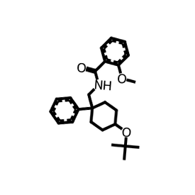 COc1ccccc1C(=O)NCC1(c2ccccc2)CCC(OC(C)(C)C)CC1